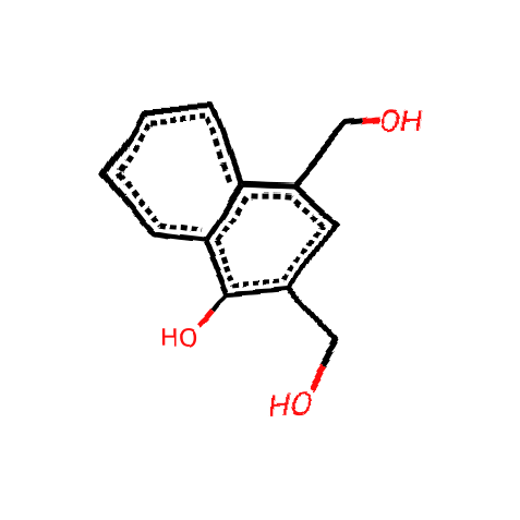 OCc1cc(CO)c2ccccc2c1O